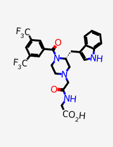 O=C(O)CNC(=O)CN1CCN(C(=O)c2cc(C(F)(F)F)cc(C(F)(F)F)c2)[C@H](Cc2c[nH]c3ccccc23)C1